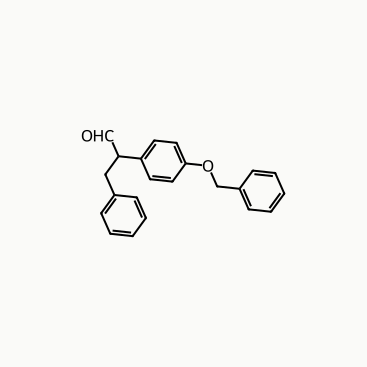 O=CC(Cc1ccccc1)c1ccc(OCc2ccccc2)cc1